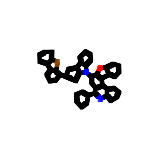 c1ccc(-c2nc3ccccc3c3c2cc(-n2c4ccccc4c4cc(-c5cccc6c5sc5ccccc56)ccc42)c2oc4ccccc4c23)cc1